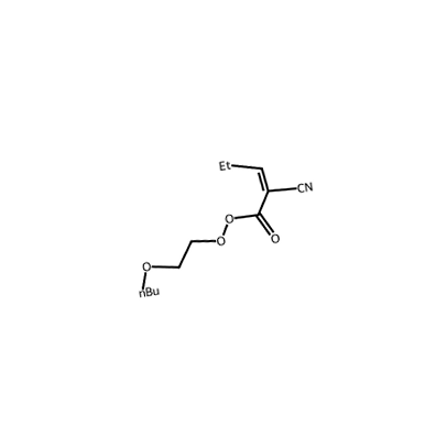 CCC=C(C#N)C(=O)OOCCOCCCC